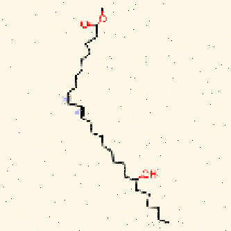 CCCCCCC(O)CCCCCCCC/C=C/C=C\CCCCCCCC(=O)OC